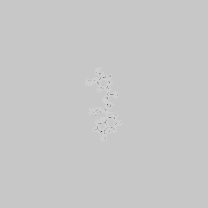 N/C(=N\OC(=O)c1cnc(Cl)c(Cl)c1)c1cccc2[nH]ccc12